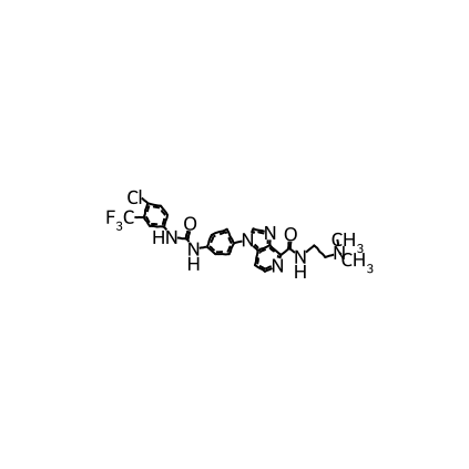 CN(C)CCNC(=O)c1nccc2c1ncn2-c1ccc(NC(=O)Nc2ccc(Cl)c(C(F)(F)F)c2)cc1